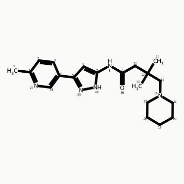 Cc1ccc(-c2cc(NC(=O)CC(C)(C)CN3CCCCC3)[nH]n2)cn1